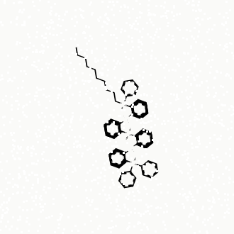 [CH2]CCCCCCCCC[Si](O[Si](O[Si](O[Si](O[Si](c1ccccc1)(c1ccccc1)c1ccccc1)(c1ccccc1)c1ccccc1)(c1ccccc1)c1ccccc1)(c1ccccc1)c1ccccc1)(c1ccccc1)c1ccccc1